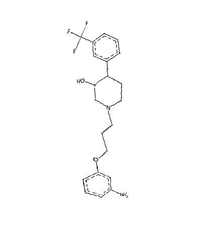 Nc1cccc(OCCCN2CCC(c3cccc(C(F)(F)F)c3)C(O)C2)c1